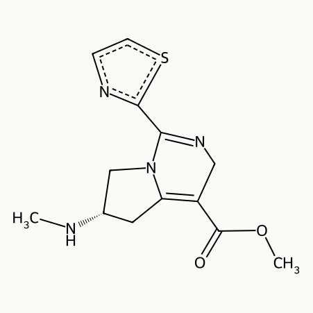 CN[C@H]1CC2=C(C(=O)OC)CN=C(c3nccs3)N2C1